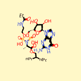 CCCC(CCC)COC(=O)[C@H](C)N(P(=O)(O)OCCNC(=O)CC)P(=O)(O)OC[C@H]1O[C@@H](n2cnc3c(=O)[nH]c(N)nc32)[C@H](O)[C@@H]1O